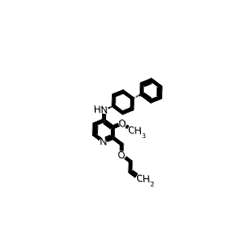 C=CCOCc1nccc(N[C@H]2CC[C@@H](c3ccccc3)CC2)c1OC